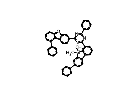 C[Si]1(C)c2cc(-c3ccccc3)ccc2-c2cccc(-c3nc(-c4ccccc4)nc(-c4ccc5c(c4)oc4cccc(-c6ccccc6)c45)n3)c21